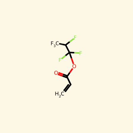 C=CC(=O)OC(F)(F)C(F)C(F)(F)F